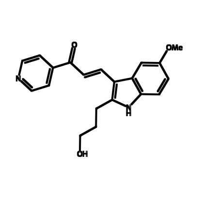 COc1ccc2[nH]c(CCCO)c(/C=C/C(=O)c3ccncc3)c2c1